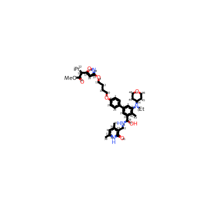 CCN(c1cc(-c2ccc(OCCCCOc3cc(C(C(=O)OC)C(C)C)on3)cc2)cc(C(O)NCc2c(C)cc(C)[nH]c2=O)c1C)C1CCOCC1